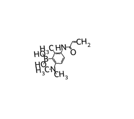 C=CC(=O)Nc1ccc(N(C)C)c(B(O)O)c1C